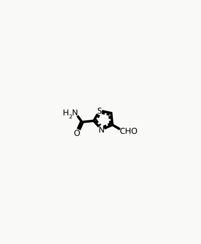 NC(=O)c1nc(C=O)cs1